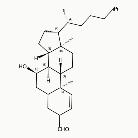 CC(C)CCC[C@@H](C)[C@H]1CC[C@H]2[C@@H]3[C@H](O)CC4CC(C=O)C=C[C@]4(C)[C@H]3CC[C@]12C